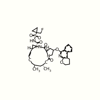 C[C@H]1CC/C=C\[C@@H]2C[C@@]2(C(=O)NS(=O)(=O)C2(CF)CC2)NC(=O)[C@@H]2C[C@@H](Oc3nc4c(c5ccccc35)CCCO4)CN2C(=O)C[C@H](C)C1